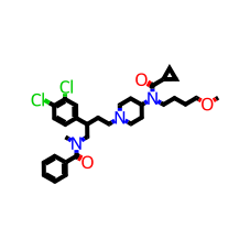 COCCCCN(C(=O)C1CC1)C1CCN(CCC(CN(C)C(=O)c2ccccc2)c2ccc(Cl)c(Cl)c2)CC1